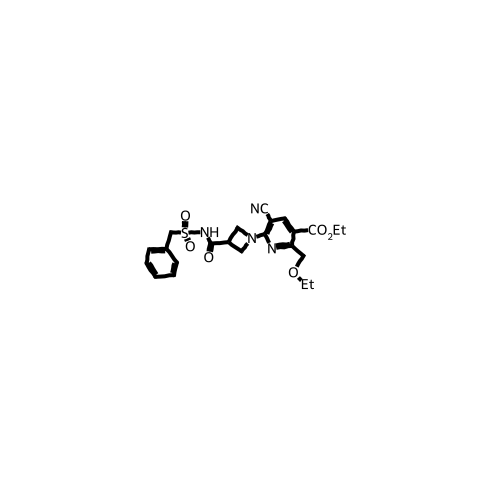 CCOCc1nc(N2CC(C(=O)NS(=O)(=O)Cc3ccccc3)C2)c(C#N)cc1C(=O)OCC